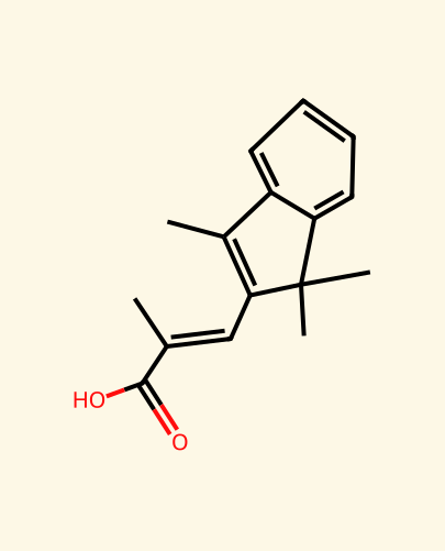 CC1=C(/C=C(\C)C(=O)O)C(C)(C)c2ccccc21